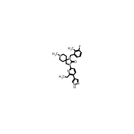 CCc1nc(N2CC3(CCN(C)CC3)N(Cc3cccc(F)c3C)C2=O)ccc1-c1cn[nH]c1